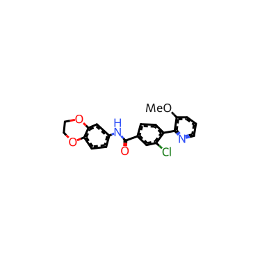 COc1cccnc1-c1ccc(C(=O)Nc2ccc3c(c2)OCCO3)cc1Cl